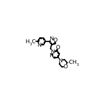 Cc1ccc(-c2nocc2Cn2ncc(N3CCO[C@@H](C)C3)cc2=O)cn1